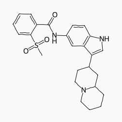 CS(=O)(=O)c1ccccc1C(=O)Nc1ccc2[nH]cc(C3CCN4CCCCC4C3)c2c1